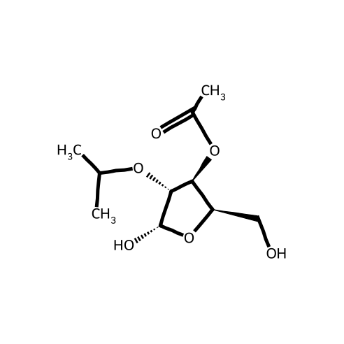 CC(=O)O[C@@H]1[C@@H](OC(C)C)[C@@H](O)O[C@@H]1CO